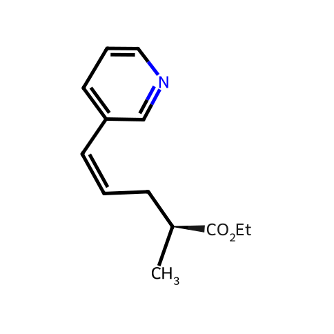 CCOC(=O)[C@@H](C)C/C=C\c1cccnc1